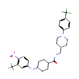 O=C(NCC1CCN(c2ccc(C(F)(F)F)cc2)CC1)C1CCC(Nc2ccc([N+](=O)[O-])c(C(F)(F)F)c2)CC1